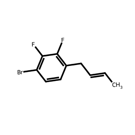 CC=CCc1ccc(Br)c(F)c1F